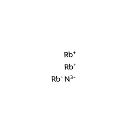 [N-3].[Rb+].[Rb+].[Rb+]